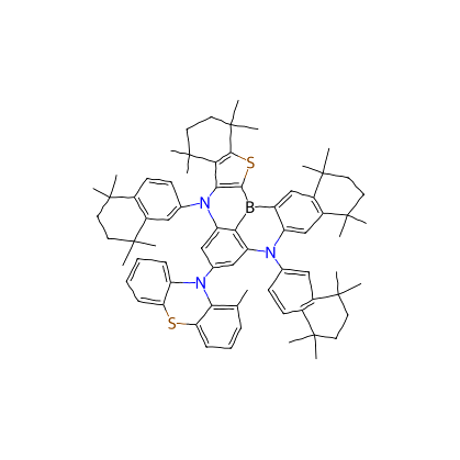 Cc1cccc2c1N(c1cc3c4c(c1)N(c1ccc5c(c1)C(C)(C)CCC5(C)C)c1c(sc5c1C(C)(C)CCC5(C)C)B4c1cc4c(cc1N3c1ccc3c(c1)C(C)(C)CCC3(C)C)C(C)(C)CCC4(C)C)c1ccccc1S2